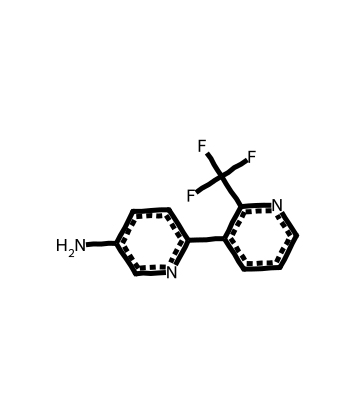 Nc1ccc(-c2cccnc2C(F)(F)F)nc1